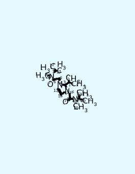 CC(C)C1N(CC(=O)N(C)C(C)C)C=CN1CC(=O)N(C)C(C)C